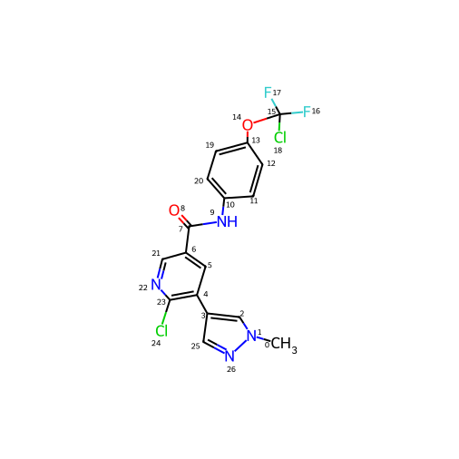 Cn1cc(-c2cc(C(=O)Nc3ccc(OC(F)(F)Cl)cc3)cnc2Cl)cn1